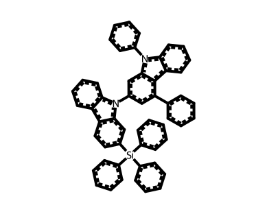 c1ccc(-c2cc(-n3c4ccccc4c4ccc([Si](c5ccccc5)(c5ccccc5)c5ccccc5)cc43)cc3c2c2ccccc2n3-c2ccccc2)cc1